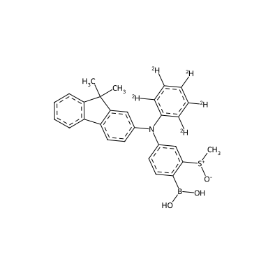 [2H]c1c([2H])c([2H])c(N(c2ccc(B(O)O)c([S+](C)[O-])c2)c2ccc3c(c2)C(C)(C)c2ccccc2-3)c([2H])c1[2H]